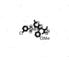 COc1cccc(-c2c(-c3c(C)noc3C)sc3nc(C)cc(NS(=O)(=O)c4cccc(Cl)c4)c23)c1